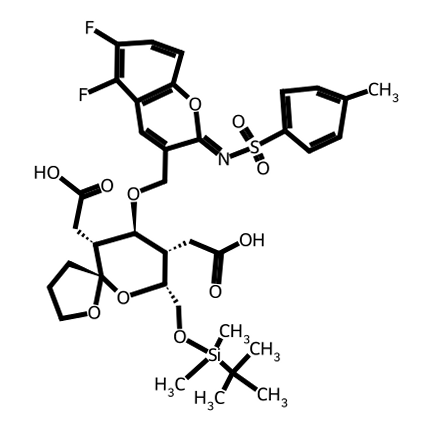 Cc1ccc(S(=O)(=O)N=c2oc3ccc(F)c(F)c3cc2CO[C@H]2[C@H](CC(=O)O)[C@H](CO[Si](C)(C)C(C)(C)C)O[C@@]3(CCCO3)[C@@H]2CC(=O)O)cc1